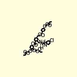 C=CC(=O)OCOc1ccc(C(=O)OCCc2ccc(C(=O)Oc3ccc(OCOC(=O)C=C)c(OCOC(=O)C=C)c3)c(/C=N/Nc3nc4ccc(Cl)cc4s3)c2)cc1